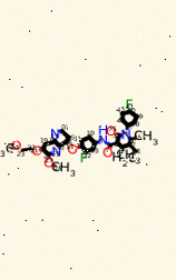 C=Cc1c(C)c(C(=O)Nc2ccc(Oc3ccnc4cc(OCCOC)c(OC)nc34)c(F)c2)c(=O)n(-c2ccc(F)cc2)c1C